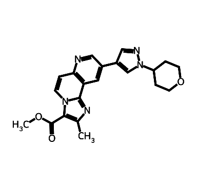 COC(=O)c1c(C)nc2c3cc(-c4cnn(C5CCOCC5)c4)cnc3ccn12